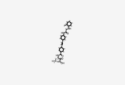 NC[C@H](NC(=O)c1ccc(C#Cc2ccc(NC(=O)CNc3ccccc3F)cc2)cc1)C(=O)NO